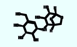 OCC1=C[C@@H](N[C@H]2C(O)[C@@H](O)[C@@H]3OC[C@H]2O3)C(O)[C@H](O)[C@H]1O